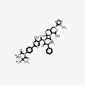 CC(=O)N(C(=O)C(C)(C)N)c1ccc(-c2ncc(C(=O)N(C(=O)C(N)c3ccccc3)C3C(=O)N4C(C(=O)O)=C(CSc5nnnn5C)CS[C@@H]34)c(O)n2)cc1